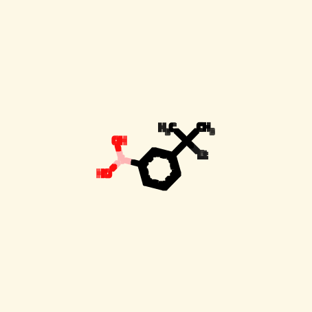 CCC(C)(C)c1cccc(B(O)O)c1